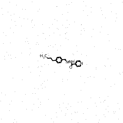 CCCCc1ccc(/C=N/NC(=O)c2ccncc2)cc1